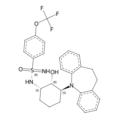 N=[S@](=O)(N[C@H]1CCC[C@H](N2c3ccccc3CCc3ccccc32)[C@H]1O)c1ccc(OC(F)(F)F)cc1